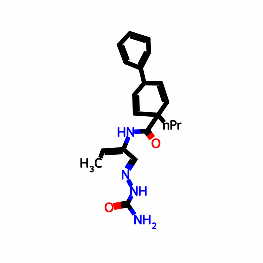 C/C=C(\C=N\NC(N)=O)NC(=O)C1(CCC)C=CC(c2ccccc2)C=C1